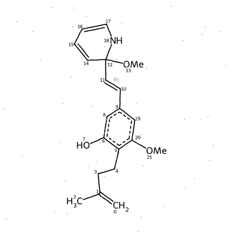 C=C(C)CCc1c(O)cc(/C=C/C2(OC)C=CC=CN2)cc1OC